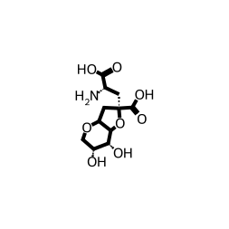 N[C@@H](C[C@@]1(C(=O)O)CC2OC[C@@H](O)[C@@H](O)C2O1)C(=O)O